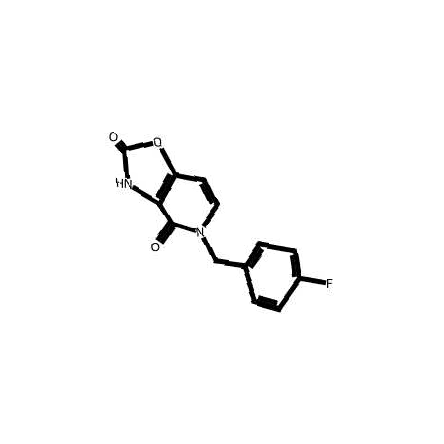 O=c1[nH]c2c(=O)n(Cc3ccc(F)cc3)ccc2o1